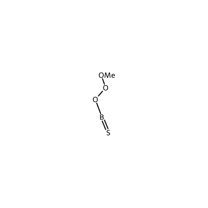 COOOB=S